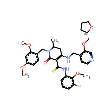 COc1ccc(CN2C(=O)C(C(=S)Nc3cccc(F)c3OC)=C(NCc3ccncc3OC[C@@H]3CCCO3)CC2C)c(OC)c1